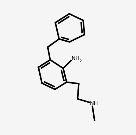 CNCCc1cccc(Cc2ccccc2)c1N